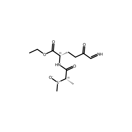 CCOC(=O)[C@H](CCC(=O)C=N)NC(=O)[C@H](C)[S+](C)[O-]